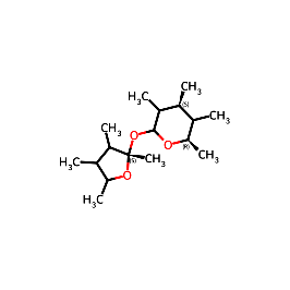 CC1O[C@@](C)(OC2O[C@H](C)C(C)[C@H](C)C2C)C(C)C1C